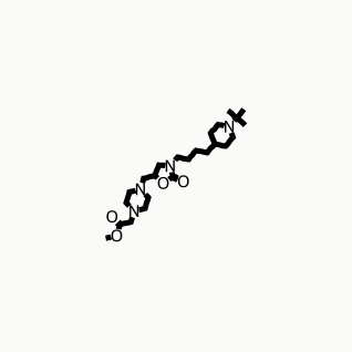 COC(=O)CN1CCN(CC2CN(CCCCC3CCN(C(C)(C)C)CC3)C(=O)O2)CC1